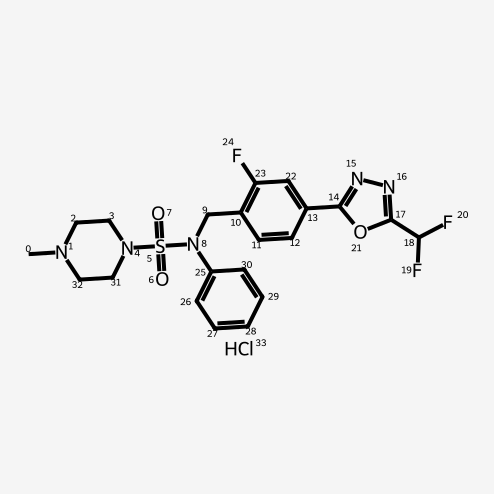 CN1CCN(S(=O)(=O)N(Cc2ccc(-c3nnc(C(F)F)o3)cc2F)c2ccccc2)CC1.Cl